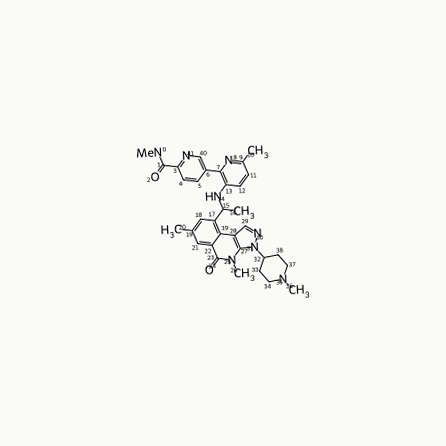 CNC(=O)c1ccc(-c2nc(C)ccc2NC(C)c2cc(C)cc3c(=O)n(C)c4c(cnn4C4CCN(C)CC4)c23)cn1